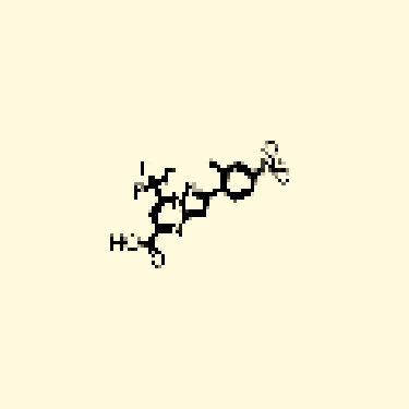 Cc1cc([N+](=O)[O-])ccc1-c1cc2nc(C(=O)O)cc(C(F)(F)F)n2n1